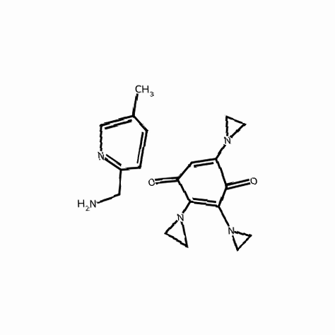 Cc1ccc(CN)nc1.O=C1C=C(N2CC2)C(=O)C(N2CC2)=C1N1CC1